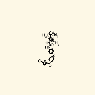 Cn1nc(C(C)(C)C)cc1NC(=O)Nc1ccc(OC2CCN(C(=O)c3ccc(Cl)s3)CC2)cc1